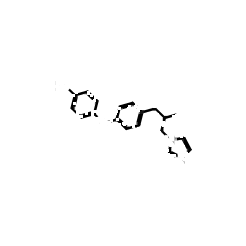 CC(Cc1ccc(Oc2ccc(Br)cc2)cc1)Cn1ccnc1